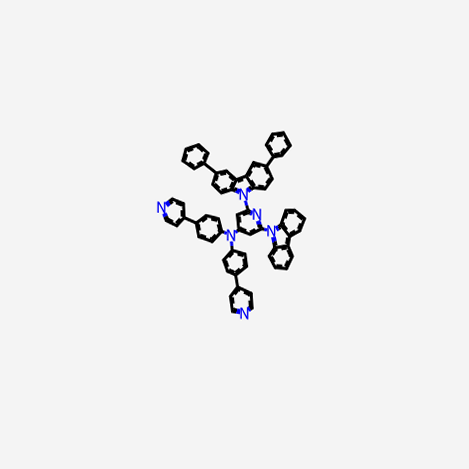 c1ccc(-c2ccc3c(c2)c2cc(-c4ccccc4)ccc2n3-c2cc(N(c3ccc(-c4ccncc4)cc3)c3ccc(-c4ccncc4)cc3)cc(-n3c4ccccc4c4ccccc43)n2)cc1